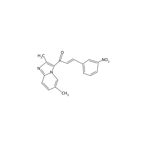 Cc1ccc2nc(C)c(C(=O)/C=C/c3cccc([N+](=O)[O-])c3)n2c1